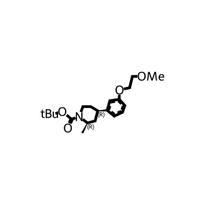 COCCOc1cccc([C@@H]2CCN(C(=O)OC(C)(C)C)[C@H](C)C2)c1